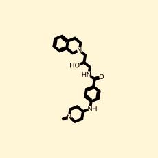 CN1CCC(Nc2ccc(C(=O)NCC(O)CN3CCc4ccccc4C3)cc2)CC1